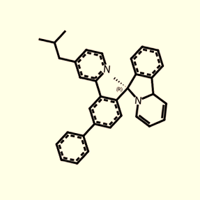 CC(C)Cc1ccnc(-c2cc(-c3ccccc3)ccc2[C@@]2(C)c3ccccc3C3C=CC=CN32)c1